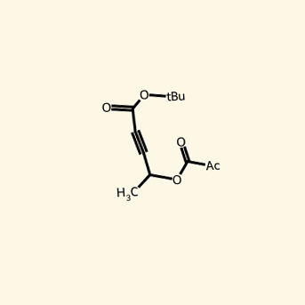 CC(=O)C(=O)OC(C)C#CC(=O)OC(C)(C)C